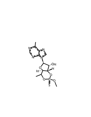 COP1(=S)OC(C)[C@H]2O[C@@H](n3cnc4c(C)ncnc43)[C@H](O)[C@@H]2O1